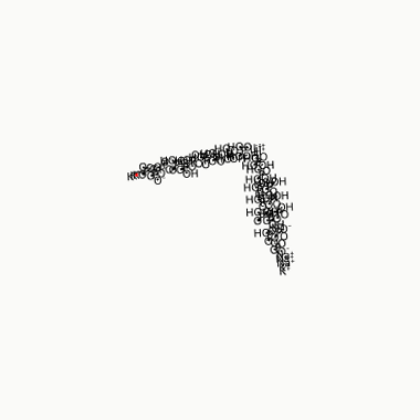 O=P(O)(O)O.O=P(O)(O)O.O=P(O)(O)O.O=P(O)(O)O.O=P(O)(O)OP(=O)(O)O.O=P(O)(O)OP(=O)(O)O.O=P(O)(O)OP(=O)(O)O.O=P(O)(O)OP(=O)(O)OP(=O)(O)O.O=P(O)(O)OP(=O)(O)OP(=O)(O)O.O=P([O-])([O-])OP(=O)([O-])O.O=P([O-])([O-])OP(=O)([O-])OP(=O)([O-])[O-].O=P([O-])([O-])[O-].[K+].[K+].[K+].[K+].[K+].[Li+].[Li+].[Li+].[Na+].[Na+].[Na+]